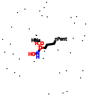 CCCCCCCCONO.O.[NaH]